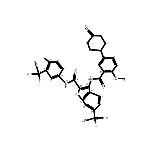 COc1ccc(C2CCC(=O)CC2)cc1C(=O)Nc1c(C(=O)Nc2ccc(F)c(C(F)(F)F)c2)sc2cc(C(F)(F)F)ccc12